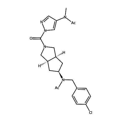 CC(=O)N(C)c1cnn(C(=O)N2C[C@H]3C[C@@H](N(Cc4ccc(Cl)cc4)C(C)=O)C[C@H]3C2)c1